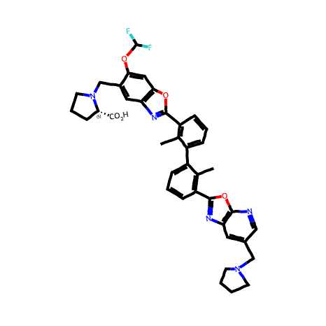 Cc1c(-c2nc3cc(CN4CCC[C@H]4C(=O)O)c(OC(F)F)cc3o2)cccc1-c1cccc(-c2nc3cc(CN4CCCC4)cnc3o2)c1C